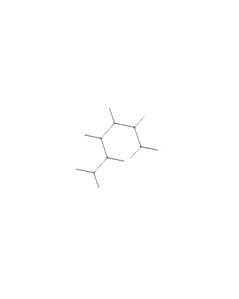 CCC1C(C)C(C)PC(C(C)C(C)C)C1C